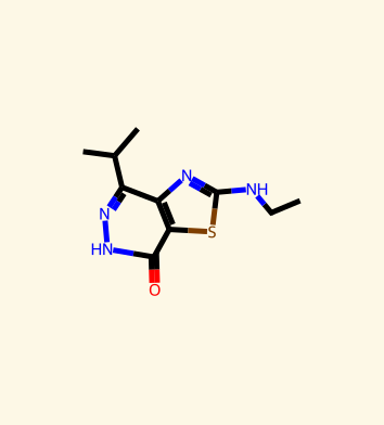 CCNc1nc2c(C(C)C)n[nH]c(=O)c2s1